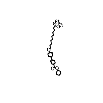 CCOC(CCCCCCCCCCOc1ccc(-c2ccc(C(=O)OC3CCCCC3)cc2)cc1)OCC